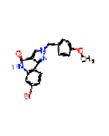 COc1ccc(Cn2cc3c(=O)[nH]c4cc(Br)ccc4c3n2)cc1